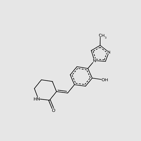 Cc1cn(-c2ccc(/C=C3\CCCNC3=O)cc2O)cn1